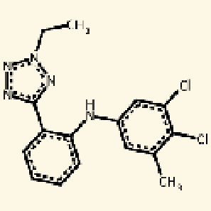 CCn1nnc(-c2ccccc2Nc2cc(C)c(Cl)c(Cl)c2)n1